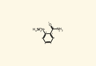 NC(=O)c1ccccc1N.[SiH4]